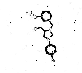 COc1cccc(CN2CN(c3ccc(Br)cc3)CC2CO)c1